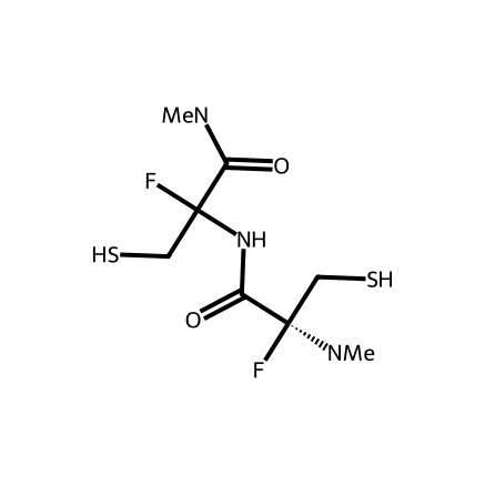 CNC(=O)C(F)(CS)NC(=O)[C@](F)(CS)NC